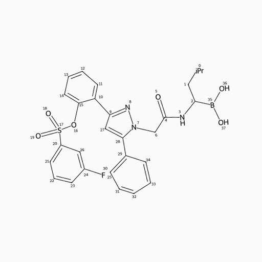 CC(C)CC(NC(=O)Cn1nc(-c2ccccc2OS(=O)(=O)c2cccc(F)c2)cc1-c1ccccc1)B(O)O